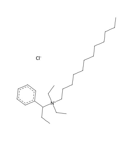 CCCCCCCCCCCC[N+](CC)(CC)C(CC)c1ccccc1.[Cl-]